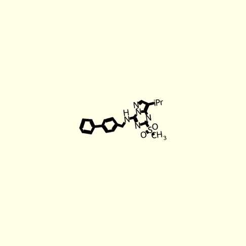 CC(C)c1cnn2c(NCc3ccc(-c4ccccc4)cc3)nc(S(C)(=O)=O)nc12